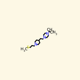 CSCCCN1CCC(CCN2CCN(C(C)C)CC2)CC1